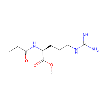 CCC(=O)N[C@@H](CCCNC(=N)N)C(=O)OC